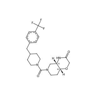 O=C1CO[C@@H]2CCN(C(=O)N3CCC(Cc4ccc(C(F)(F)F)cc4)CC3)C[C@@H]2N1